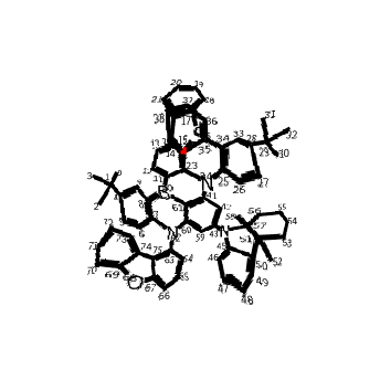 CC(C)(C)c1ccc2c(c1)B1c3ccc4c(sc5ccccc54)c3N(c3ccc(C(C)(C)C)cc3-c3ccccc3)c3cc(N4c5ccccc5C5(C)CCCCC45C)cc(c31)N2c1cccc2oc3ccccc3c12